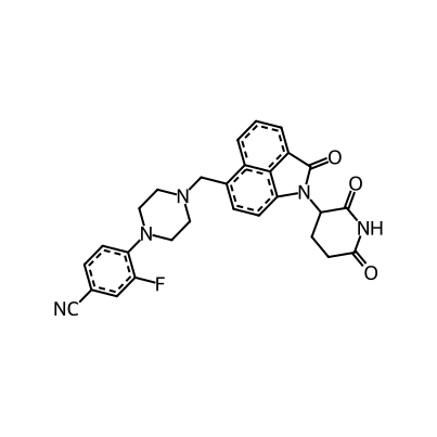 N#Cc1ccc(N2CCN(Cc3ccc4c5c(cccc35)C(=O)N4C3CCC(=O)NC3=O)CC2)c(F)c1